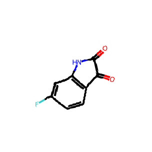 O=C1Nc2cc(F)ccc2C1=O